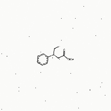 COC(=O)CC(CF)c1ccccc1